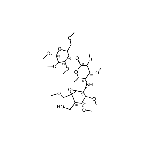 COCC1O[C@@H](OC)C(OC)[C@H](OC)[C@H]1O[C@@H]1OC(C)[C@H](N[C@H]2C(OC)[C@H](OC)[C@@H](CO)C3(COC)OC23)[C@@H](OC)C1OC